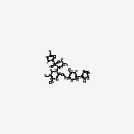 Cc1ccc(S(=O)(=O)N(CC(C)C)c2cc(C)c(Cl)cc2OCc2ccc(-c3nnn[nH]3)cc2C)o1